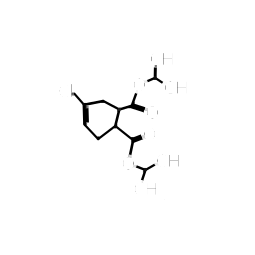 CC(C)OC(=O)C1CC=C(Cl)CC1C(=O)OC(C)C